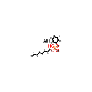 CCCCCCCCOP(=O)(O)Oc1ccccc1.[AlH3]